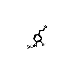 S=C=Nc1ccc(CCBr)cc1Br